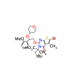 COc1ccccc1C(COc1nc2sc(Br)c(C)c2c(=O)n1C(C)(CC(C)(C)C)C(=O)O)OC1CCOCC1